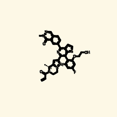 C=CC(=O)N1CCn2nc(-c3nc(-c4ccc5cnn(C)c(=O)c5c4)c4ccsc4c3-c3c(F)cc(F)cc3OCCO)cc2[C@H]1C